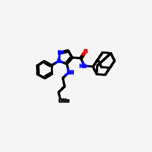 COCCCNc1c(C(=O)NC2C3CC4CC(C3)CC2C4)cnn1-c1ccccc1